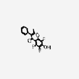 Cc1oc2c(F)c(O)c(F)c(F)c2c(=O)c1-c1ccccc1